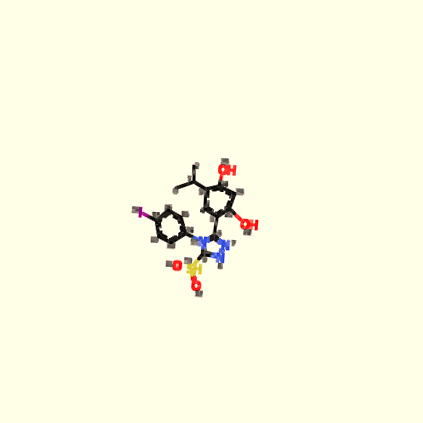 CC(C)c1cc(-c2nnc([SH](=O)=O)n2-c2ccc(I)cc2)c(O)cc1O